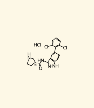 Cl.O=C(Nc1n[nH]c2ccc(-c3c(Cl)cccc3Cl)cc12)[C@@H]1CCNC1